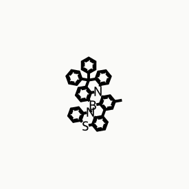 Cc1cc2c3c(c1)N1c4ccccc4C(c4ccccc4)(c4ccccc4)c4cccc(c41)B3N1c3ccccc3Sc3cccc-2c31